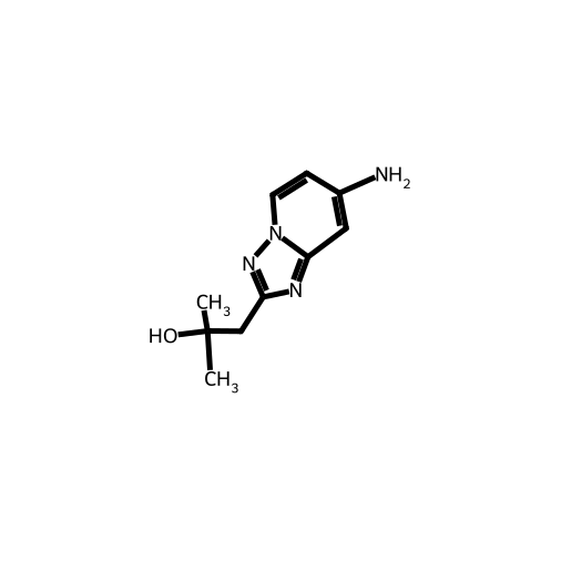 CC(C)(O)Cc1nc2cc(N)ccn2n1